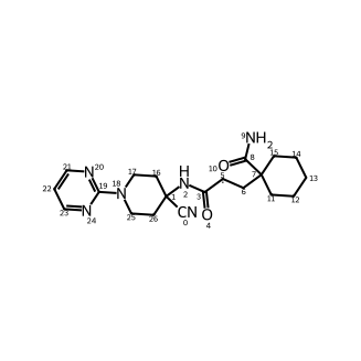 N#CC1(NC(=O)[CH]CC2(C(N)=O)CCCCC2)CCN(c2ncccn2)CC1